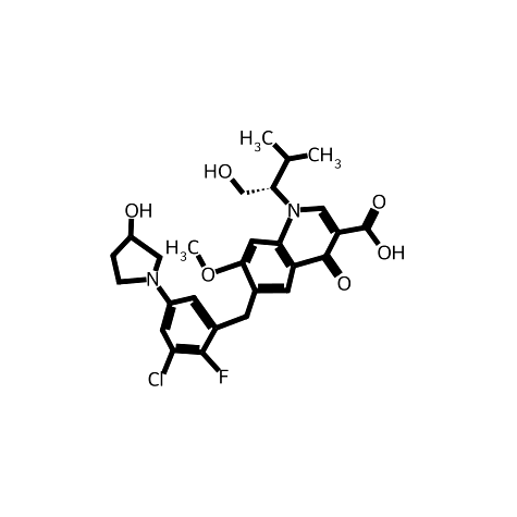 COc1cc2c(cc1Cc1cc(N3CCC(O)C3)cc(Cl)c1F)c(=O)c(C(=O)O)cn2[C@H](CO)C(C)C